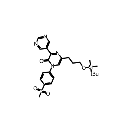 CC(C)(C)[Si](C)(C)OCCCc1cn(-c2ccc(S(C)(=O)=O)cc2)c(=O)c(-c2cncnc2)n1